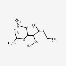 CCCC(C)C(OC)C(COC)CC(C)C